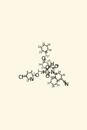 C[C@]12O[C@](CCOc3ccc(Cl)cn3)(C[C@@H]1OCc1ccccc1)[C@H]1C(=O)N(c3ccc(C#N)c4ccccc34)C(=O)[C@H]12